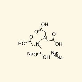 O=C(O)CN(CC(=O)O)CN(CC(=O)O)CC(=O)O.[Na].[Na].[Na].[Na]